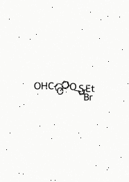 CCc1sc(COc2ccc3c(c2)OCC(C=O)=C3)cc1Br